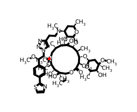 CC[C@H]1OC(=O)[C@H](C)[C@@H](O[C@H]2C[C@@](C)(OC)[C@@H](O)[C@H](C)O2)[C@H](C)[C@@H](O[C@@H]2O[C@H](C)C[C@H](N(C)CCc3cn([C@H](CF)[C@H](OC)c4ccc(-c5nccs5)cc4)nn3)[C@H]2O)[C@](C)(O)C[C@@H](C)CN(C)[C@H](C)[C@@H](O)[C@]1(C)O